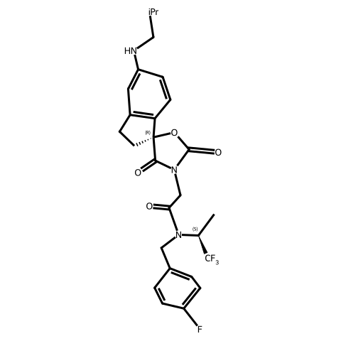 CC(C)CNc1ccc2c(c1)CC[C@@]21OC(=O)N(CC(=O)N(Cc2ccc(F)cc2)[C@@H](C)C(F)(F)F)C1=O